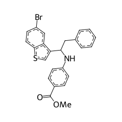 COC(=O)c1ccc(NC(Cc2ccccc2)c2csc3ccc(Br)cc23)cc1